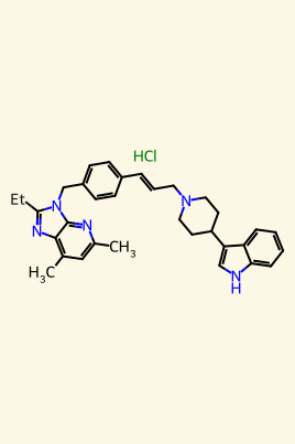 CCc1nc2c(C)cc(C)nc2n1Cc1ccc(C=CCN2CCC(c3c[nH]c4ccccc34)CC2)cc1.Cl